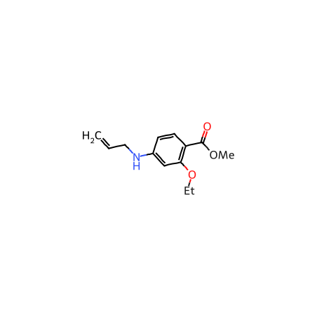 C=CCNc1ccc(C(=O)OC)c(OCC)c1